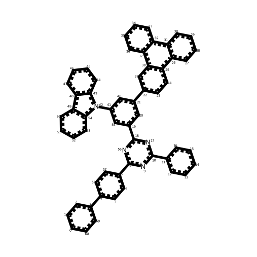 c1ccc(-c2ccc(-c3nc(-c4ccccc4)nc(-c4cc(-c5ccc6c7ccccc7c7ccccc7c6c5)cc(-n5c6ccccc6c6ccccc65)c4)n3)cc2)cc1